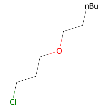 [CH2]CCCCCOCCCCl